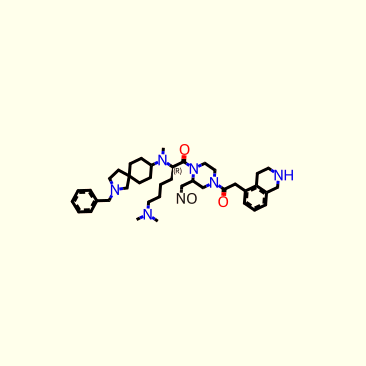 CN(C)CCCC[C@H](C(=O)N1CCN(C(=O)Cc2cccc3c2CCNC3)CC1CN=O)N(C)C1CCC2(CC1)CCN(Cc1ccccc1)C2